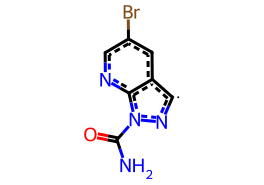 NC(=O)n1n[c]c2cc(Br)cnc21